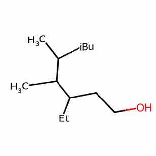 CCC(C)C(C)C(C)C(CC)CCO